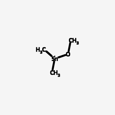 C[O][Sn]([CH3])[CH3]